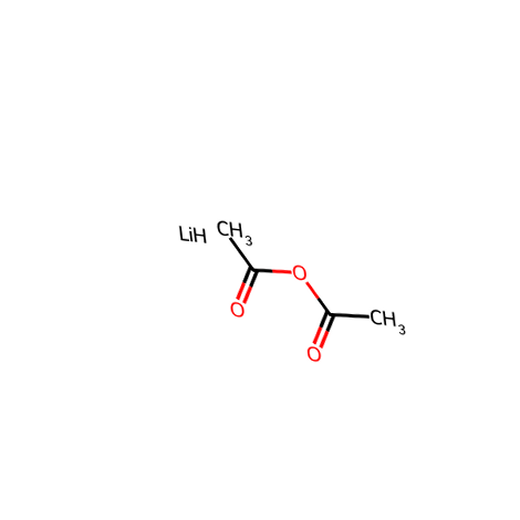 CC(=O)OC(C)=O.[LiH]